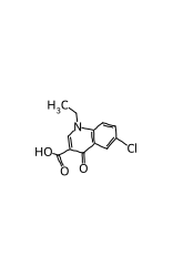 CCn1cc(C(=O)O)c(=O)c2cc(Cl)ccc21